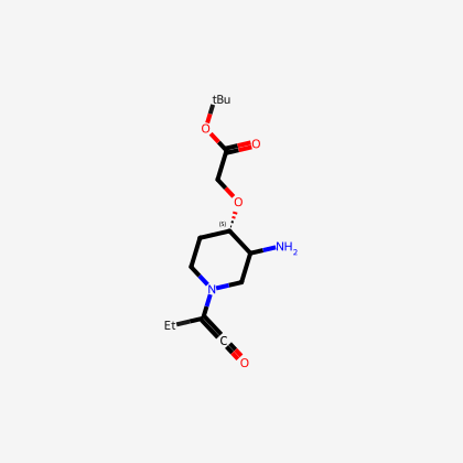 [CH2]CC(=C=O)N1CC[C@H](OCC(=O)OC(C)(C)C)C(N)C1